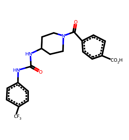 O=C(Nc1ccc(C(F)(F)F)cc1)NC1CCN(C(=O)c2ccc(C(=O)O)cc2)CC1